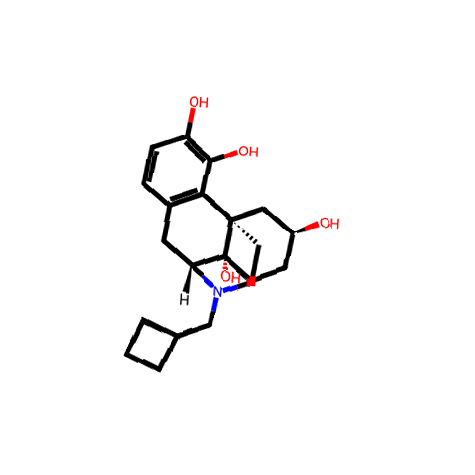 Oc1ccc2c(c1O)[C@]13CCN(CC4CCC4)[C@H](C2)[C@]1(O)CC[C@H](O)C3